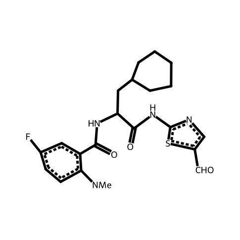 CNc1ccc(F)cc1C(=O)NC(CC1CCCCC1)C(=O)Nc1ncc(C=O)s1